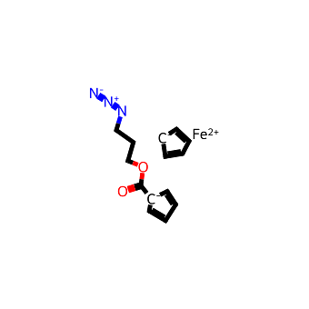 [Fe+2].[N-]=[N+]=NCCCOC(=O)[c-]1cccc1.c1cc[cH-]c1